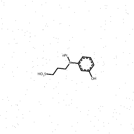 CCCN(CCCS(=O)(=O)O)c1cccc(O)c1